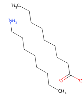 CCCCCCCCC(=O)O.CCCCCCCCN